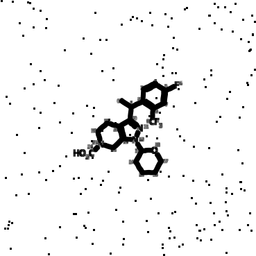 CC(c1ccc(F)cc1C(F)(F)F)c1nn(C2CCCCO2)c2c1CCN(C(=O)O)C2